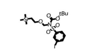 CC(C)(C)OC(=O)N(COCC[Si](C)(C)C)S(=O)(=O)c1cccc(I)c1